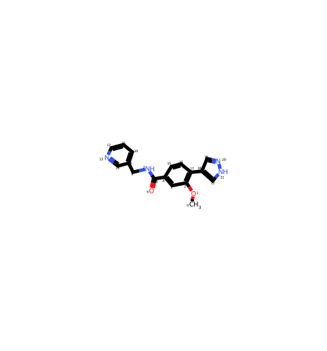 COc1cc(C(=O)NCc2cccnc2)ccc1-c1cn[nH]c1